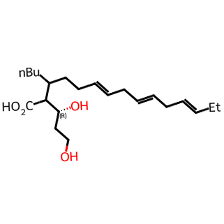 CCC=CCC=CCC=CCCC(CCCC)C(C(=O)O)[C@H](O)CCO